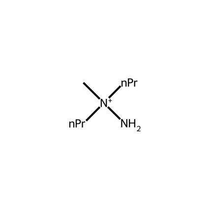 CCC[N+](C)(N)CCC